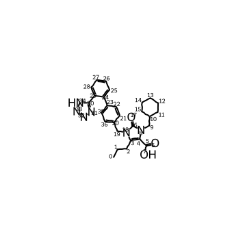 CCCc1c(C(=O)O)n(CC2CCCCC2)c(=O)n1Cc1ccc(-c2ccccc2-c2nnn[nH]2)cc1